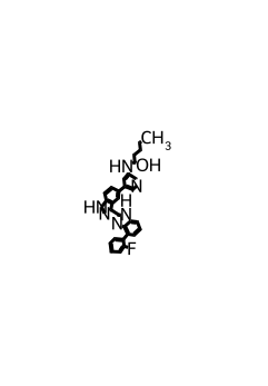 CCCCC(O)Nc1cncc(-c2ccc3[nH]nc(-c4nc5c(-c6ccccc6F)cccc5[nH]4)c3c2)c1